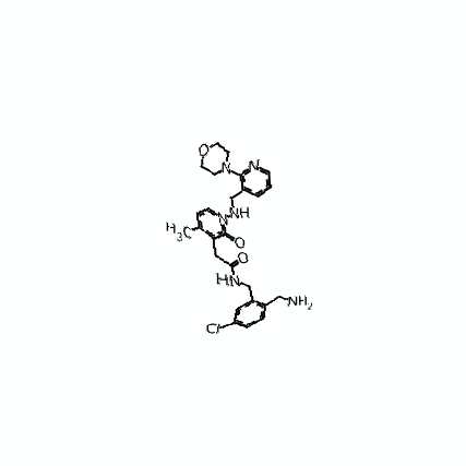 Cc1ccn(NCc2cccnc2N2CCOCC2)c(=O)c1CC(=O)NCc1cc(Cl)ccc1CN